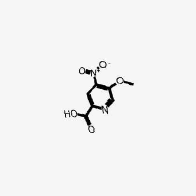 COc1cnc(C(=O)O)cc1[N+](=O)[O-]